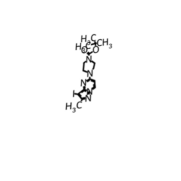 Cc1nn2ccc(N3CCN(C(=O)OC(C)(C)C)CC3)nc2c1I